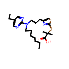 CCCCCCCN(CCCc1csc(SC(C)(C)C(=O)O)n1)c1ncc(CC)cn1